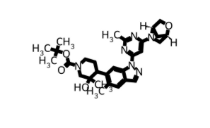 Cc1nc(N2C[C@H]3C[C@@H]2CO3)cc(-n2ncc3cc(C)c(C4CCN(C(=O)OC(C)(C)C)CC4(C)O)cc32)n1